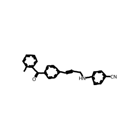 Cc1ccccc1C(=O)c1ccc(C#CCNc2ccc(C#N)cc2)cc1